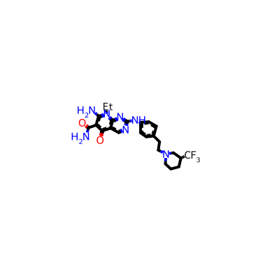 CCn1c(N)c(C(N)=O)c(=O)c2cnc(Nc3ccc(CCN4CCCC(C(F)(F)F)C4)cc3)nc21